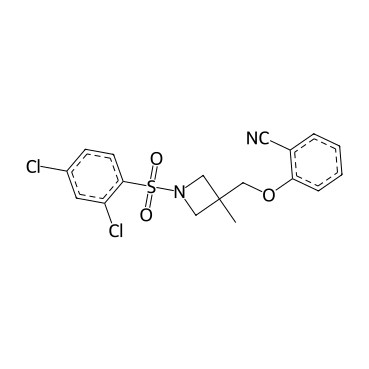 CC1(COc2ccccc2C#N)CN(S(=O)(=O)c2ccc(Cl)cc2Cl)C1